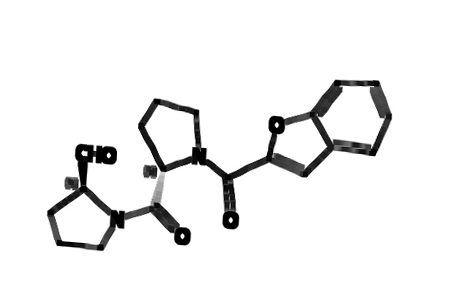 O=C[C@@H]1CCCN1C(=O)[C@@H]1CCCN1C(=O)c1cc2ccccc2o1